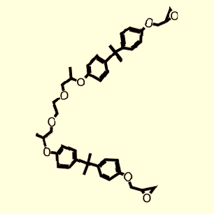 CC(COCCOCC(C)Oc1ccc(C(C)(C)c2ccc(OCC3CO3)cc2)cc1)Oc1ccc(C(C)(C)c2ccc(OCC3CO3)cc2)cc1